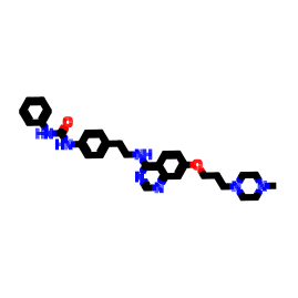 CN1CCN(CCCOc2ccc3c(NCCc4ccc(NC(=O)Nc5ccccc5)cc4)ncnc3c2)CC1